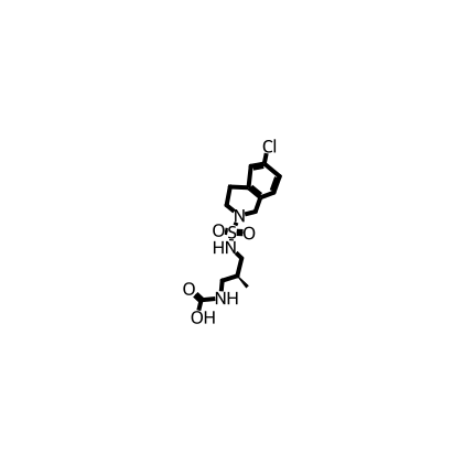 C[C@@H](CNC(=O)O)CNS(=O)(=O)N1CCc2cc(Cl)ccc2C1